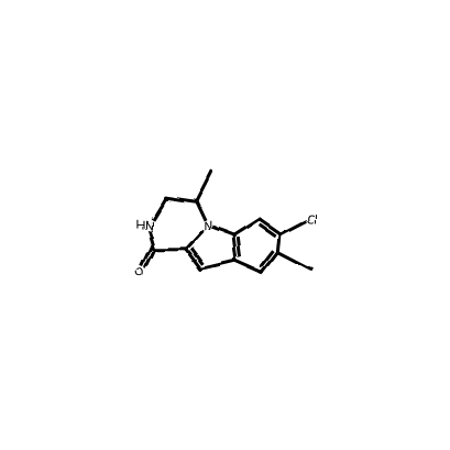 Cc1cc2cc3n(c2cc1Cl)C(C)CNC3=O